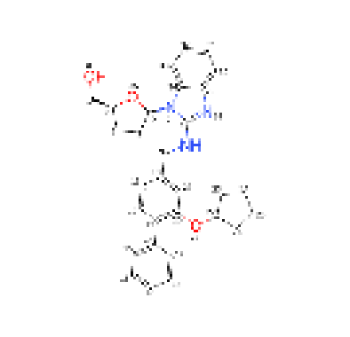 OC[C@@H]1CC[C@H](n2c(NCc3ccc(-c4ccccc4)c(OC4CCCC4)c3)nc3ccccc32)O1